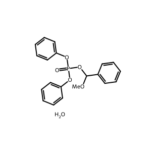 COC(OP(=O)(Oc1ccccc1)Oc1ccccc1)c1ccccc1.O